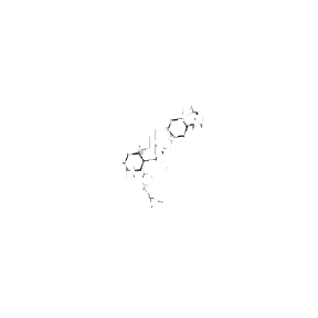 O=C(NCc1ccc2ocnc2c1)c1c(Cl)ccnc1OCC1CC1